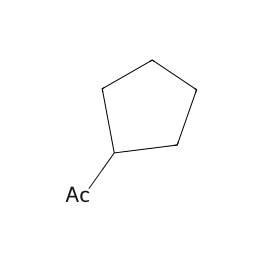 [CH2]C(=O)C1CCCC1